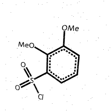 COc1cccc(S(=O)(=O)Cl)c1OC